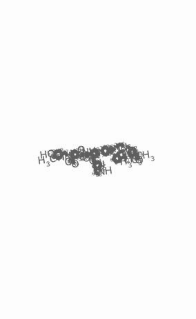 CC(C)c1ccccc1C1CN(Cc2ccc(P(C)(C)=O)cc2)CCN1C1CC2(CCN(c3ccc(C(=O)NS(=O)(=O)c4ccc(NCC5CCC(C)(O)CC5)c([N+](=O)[O-])c4)c(Oc4cnc5[nH]ccc5c4)c3)CC2)C1